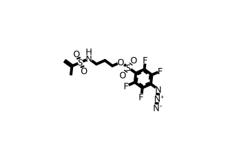 C=C(C)S(=O)(=O)NCCCOS(=O)(=O)c1c(F)c(F)c(N=[N+]=[N-])c(F)c1F